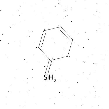 [SiH2]=C1[C]=CC=C[CH]1